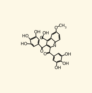 COc1ccc2nc(C(=O)c3cc(O)c(O)c(O)c3)c(C(=O)c3cc(O)c(O)c(O)c3)c(C(=O)O)c2c1